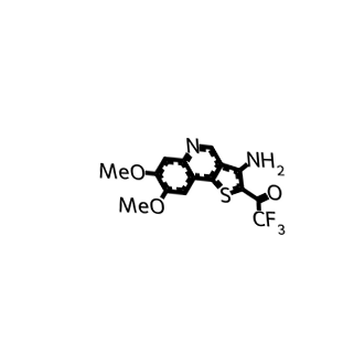 COc1cc2ncc3c(N)c(C(=O)C(F)(F)F)sc3c2cc1OC